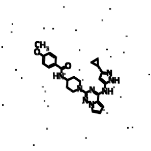 COc1ccc(C(=O)NC2CCN(c3nc(Nc4cc(C5CC5)n[nH]4)c4cccn4n3)CC2)cc1